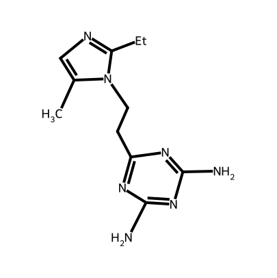 CCc1ncc(C)n1CCc1nc(N)nc(N)n1